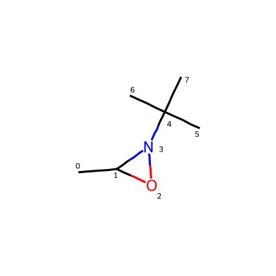 CC1ON1C(C)(C)C